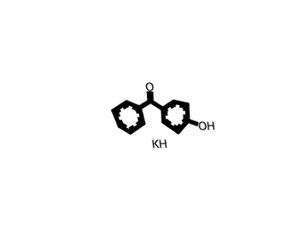 O=C(c1ccccc1)c1ccc(O)cc1.[KH]